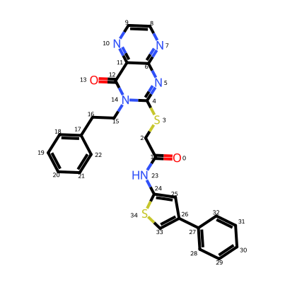 O=C(CSc1nc2nccnc2c(=O)n1CCc1ccccc1)Nc1cc(-c2ccccc2)cs1